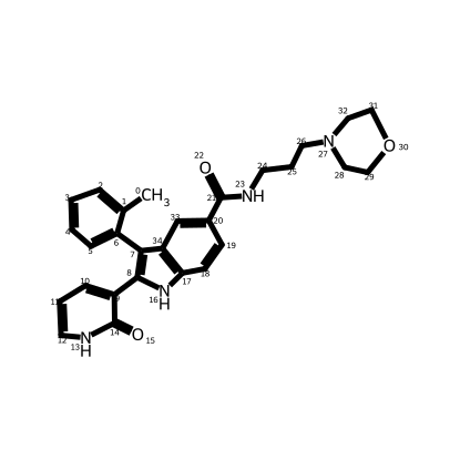 Cc1ccccc1-c1c(-c2ccc[nH]c2=O)[nH]c2ccc(C(=O)NCCCN3CCOCC3)cc12